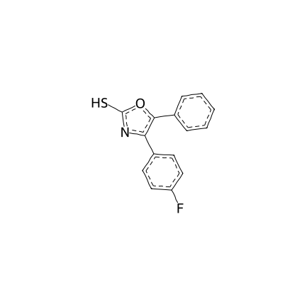 Fc1ccc(-c2nc(S)oc2-c2ccccc2)cc1